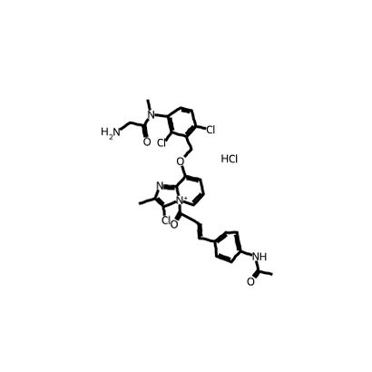 CC(=O)Nc1ccc(C=CC(=O)[N+]23C=CC=C(OCc4c(Cl)ccc(N(C)C(=O)CN)c4Cl)C2=NC(C)=C3Cl)cc1.Cl